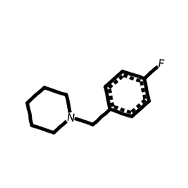 Fc1ccc(CN2CCCCC2)cc1